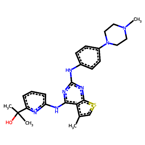 Cc1csc2nc(Nc3ccc(N4CCN(C)CC4)cc3)nc(Nc3cccc(C(C)(C)O)n3)c12